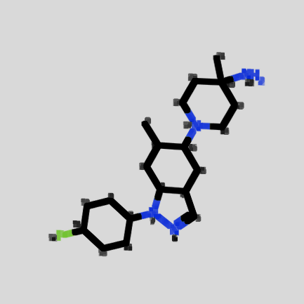 CC1CC2C(C=NN2C2CCC(F)CC2)CC1N1CCC(C)(N)CC1